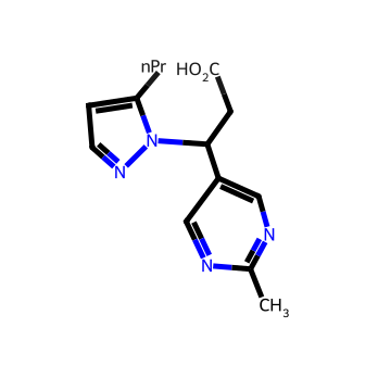 CCCc1ccnn1C(CC(=O)O)c1cnc(C)nc1